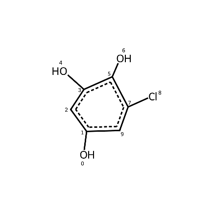 Oc1cc(O)c(O)c(Cl)c1